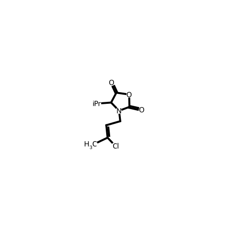 C/C(Cl)=C/CN1C(=O)OC(=O)C1C(C)C